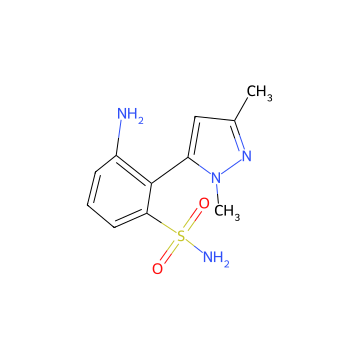 Cc1cc(-c2c(N)cccc2S(N)(=O)=O)n(C)n1